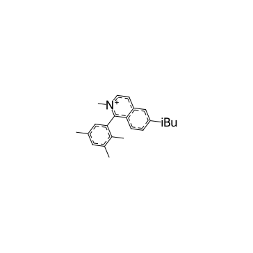 CCC(C)c1ccc2c(-c3cc(C)cc(C)c3C)[n+](C)ccc2c1